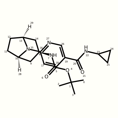 CC(C)(C)OC(=O)N[C@H]1C[C@H]2CC[C@@H](C1)N2c1ccc(C(=O)NC2CC2)cn1